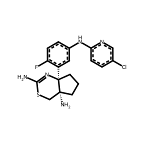 NC1=N[C@@]2(c3cc(Nc4ccc(Cl)cn4)ccc3F)CCC[C@@]2(N)CS1